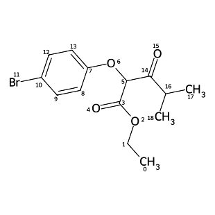 CCOC(=O)C(Oc1ccc(Br)cc1)C(=O)C(C)C